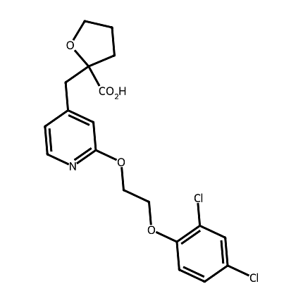 O=C(O)C1(Cc2ccnc(OCCOc3ccc(Cl)cc3Cl)c2)CCCO1